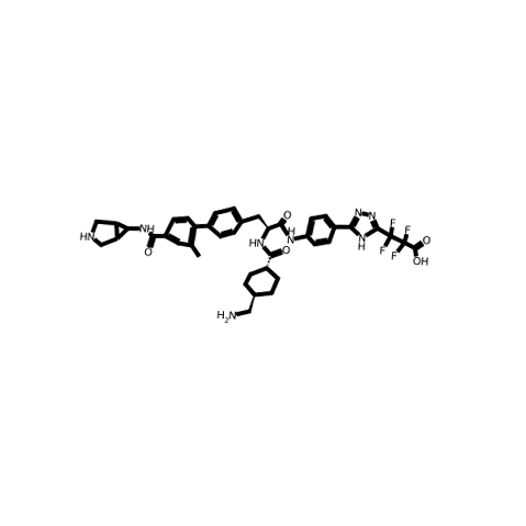 Cc1cc(C(=O)NC2C3CNCC32)ccc1-c1ccc(C[C@H](NC(=O)[C@H]2CC[C@H](CN)CC2)C(=O)Nc2ccc(-c3nnc(C(F)(F)C(F)(F)C(=O)O)[nH]3)cc2)cc1